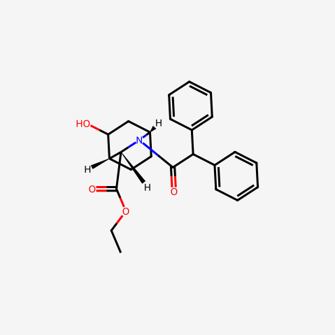 CCOC(=O)[C@@H]1[C@@H]2CC[C@@H](CC2O)N1C(=O)C(c1ccccc1)c1ccccc1